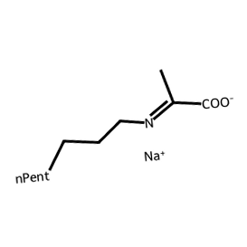 CCCCCCCCN=C(C)C(=O)[O-].[Na+]